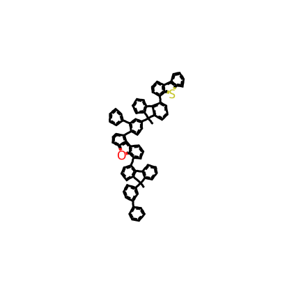 CC1(c2cccc(-c3ccccc3)c2)c2ccccc2-c2c(-c3cccc4c3oc3cccc(-c5ccc(C6(C)c7ccccc7-c7c(-c8cccc9c8sc8ccccc89)cccc76)cc5-c5ccccc5)c34)cccc21